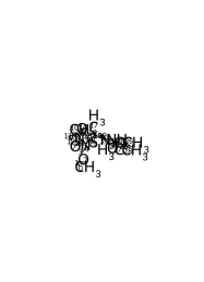 CCOCCn1c(=O)n(C2(C)CC2)c(=O)c2c(C)c(/C=N/NC(=O)OC(C)(C)C)sc21